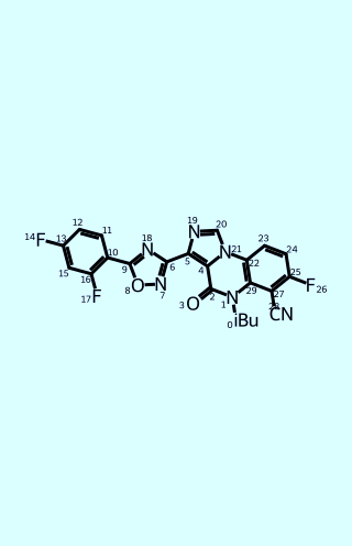 CCC(C)n1c(=O)c2c(-c3noc(-c4ccc(F)cc4F)n3)ncn2c2ccc(F)c(C#N)c21